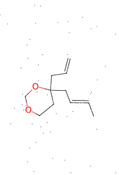 C=CCC1(C/C=C/C)CCOCO1